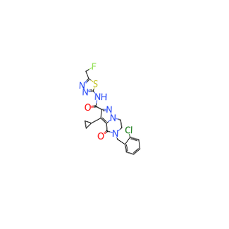 O=C(Nc1nnc(CF)s1)c1nn2c(c1C1CC1)C(=O)N(Cc1ccccc1Cl)CC2